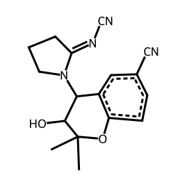 CC1(C)Oc2ccc(C#N)cc2C(N2CCCC2=NC#N)C1O